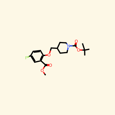 COC(=O)c1cc(F)ccc1OCC1CCN(C(=O)OC(C)(C)C)CC1